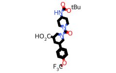 CC(C)(C)OC(=O)NC1CCN(C(=O)N2CC(C(=O)O)CC(c3ccc(OC(F)(F)F)cc3)C2)CC1